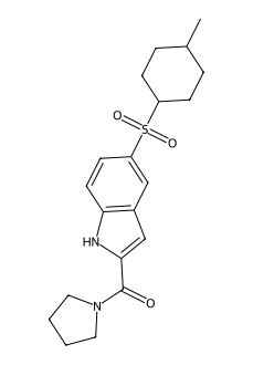 CC1CCC(S(=O)(=O)c2ccc3[nH]c(C(=O)N4CCCC4)cc3c2)CC1